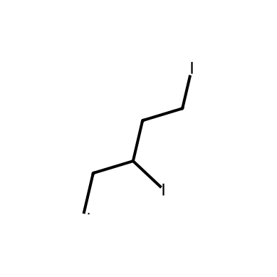 [CH2]CC(I)CCI